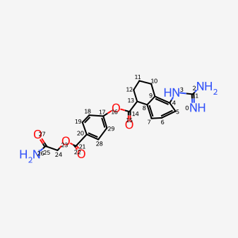 N=C(N)Nc1cccc2c1CCCC2C(=O)Oc1ccc(C(=O)OCC(N)=O)cc1